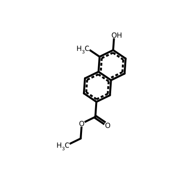 CCOC(=O)c1ccc2c(C)c(O)ccc2c1